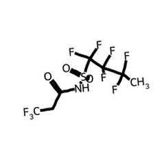 CC(F)(F)C(F)(F)C(F)(F)S(=O)(=O)NC(=O)CC(F)(F)F